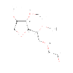 COC1COC(C(COCCO)OC)C1OC